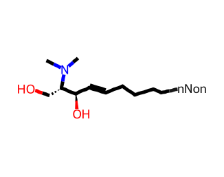 CCCCCCCCCCCCCC=C[C@@H](O)[C@H](CO)N(C)C